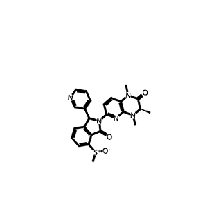 C[C@@H]1C(=O)N(C)c2ccc(N3C(=O)c4c(cccc4[S+](C)[O-])C3c3cccnc3)nc2N1C